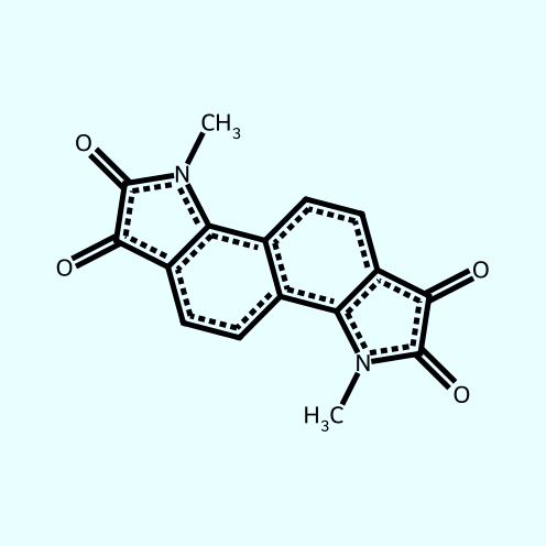 Cn1c(=O)c(=O)c2ccc3c(ccc4c(=O)c(=O)n(C)c43)c21